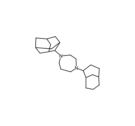 C1CC2CCC(N3CCCN(C4C5CC6CC(C5)CC4C6)CC3)C(C1)C2